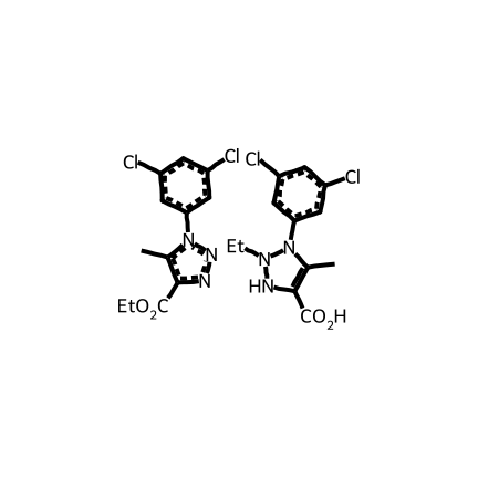 CCN1NC(C(=O)O)=C(C)N1c1cc(Cl)cc(Cl)c1.CCOC(=O)c1nnn(-c2cc(Cl)cc(Cl)c2)c1C